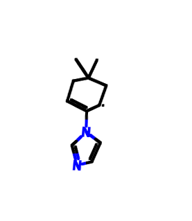 CC1(C)C[CH]C(n2ccnc2)=CC1